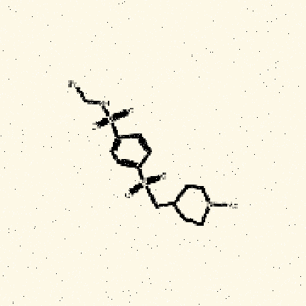 CC(=O)N1CCC(CS(=O)(=O)c2ccc(S(=O)(=O)NCC(C)C)cc2)CC1